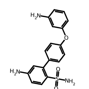 Nc1cccc(Oc2ccc(-c3cc(N)ccc3S(N)(=O)=O)cc2)c1